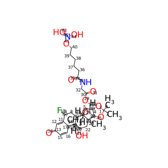 CC1(C)O[C@@H]2C[C@H]3[C@@H]4C[C@H](F)C5=CC(=O)C=C[C@]5(C)[C@H]4[C@@H](O)C[C@]3(C)[C@]2(C(=O)COC(=O)CNC(=O)CCCCCON(O)O)O1